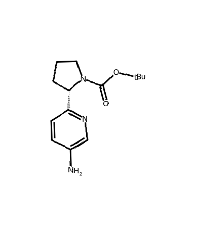 CC(C)(C)OC(=O)N1CCC[C@H]1c1ccc(N)cn1